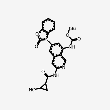 CC(C)(C)OC(=O)Nc1cc(-n2c(=O)oc3ccccc32)cc2cc(NC(=O)C3CC3C#N)ncc12